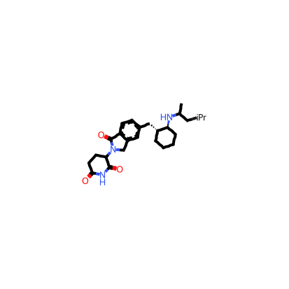 CC(C)CC(C)N[C@H]1CCCC[C@@H]1Cc1ccc2c(c1)CN(C1CCC(=O)NC1=O)C2=O